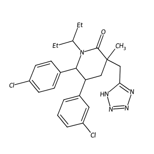 CCC(CC)N1C(=O)C(C)(Cc2nnn[nH]2)CC(c2cccc(Cl)c2)C1c1ccc(Cl)cc1